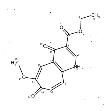 CCOC(=O)c1c[nH]c2ccc(=O)c(OC)cc2c1=O